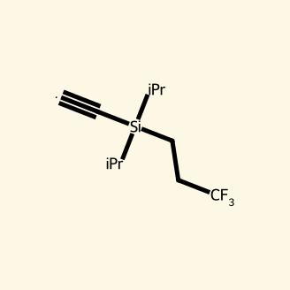 [C]#C[Si](CCC(F)(F)F)(C(C)C)C(C)C